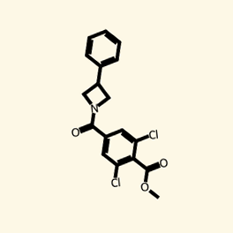 COC(=O)c1c(Cl)cc(C(=O)N2CC(c3ccccc3)C2)cc1Cl